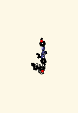 C=CC(/C=C/c1ccc(CC)cc1)=C\N=C(\c1ccc(C[C@@H](C=C=O)NC(=O)c2ccc(C(C)(C)C)s2)cc1)C(C)CC